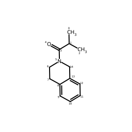 CC(C)C(=O)N1CCc2ccccc2C1